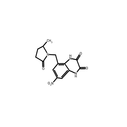 CC1CCC(=O)N1Cc1cc([N+](=O)[O-])cc2[nH]c(=O)c(=O)[nH]c12